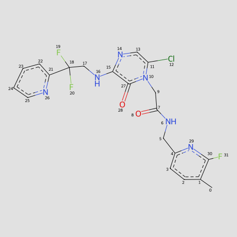 Cc1ccc(CNC(=O)Cn2c(Cl)cnc(NCC(F)(F)c3ccccn3)c2=O)nc1F